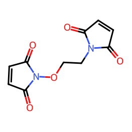 O=C1C=CC(=O)N1CCON1C(=O)C=CC1=O